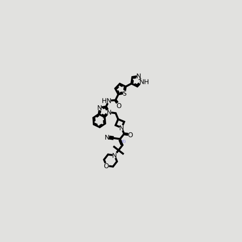 CC(C)(/C=C(\C#N)C(=O)N1CC(Cn2c(NC(=O)c3ccc(-c4cn[nH]c4)s3)nc3ccccc32)C1)N1CCOCC1